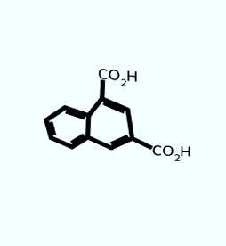 O=C(O)c1cc(C(=O)O)c2ccccc2c1